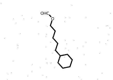 O=COCCCC[CH]C1CCCCC1